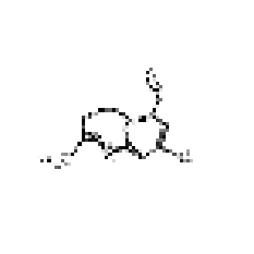 Cc1ccc2c(Cl)cc(Cl)cc2n1